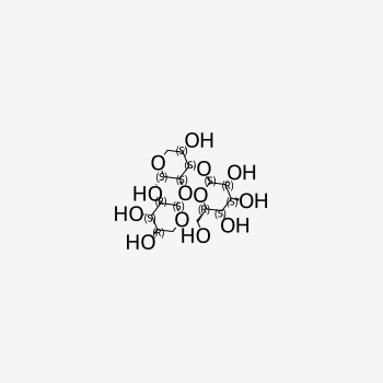 C[C@@H]1OC[C@H](O)[C@H](O[C@@H]2O[C@H](CO)[C@@H](O)[C@H](O)[C@H]2O)[C@H]1O[C@@H]1OC[C@@H](O)[C@H](O)[C@H]1O